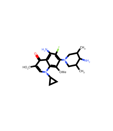 COc1c(N2CC(C)C(N)C(C)C2)c(F)c(N)c2c(=O)c(C(=O)O)cn(C3CC3)c12